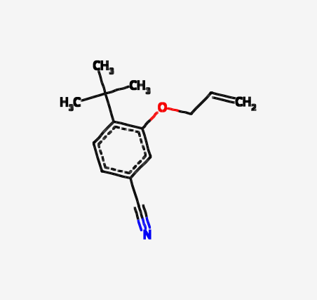 C=CCOc1cc(C#N)ccc1C(C)(C)C